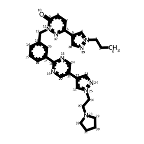 CCCn1cc(-c2ccc(=O)n(Cc3cccc(-c4ncc(-c5cnn(CCN6CCCC6)c5)cn4)c3)n2)cn1